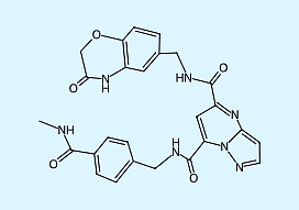 CNC(=O)c1ccc(CNC(=O)c2cc(C(=O)NCc3ccc4c(c3)NC(=O)CO4)nc3ccnn23)cc1